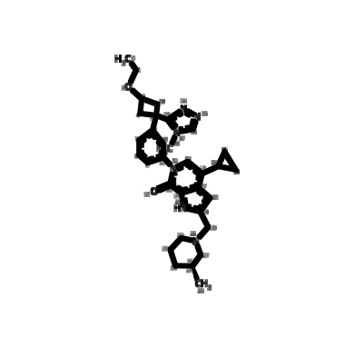 CCOC1CC(c2cccc(-n3cc(C4CC4)c4cc(CN5CCC[C@H](C)C5)[nH]c4c3=O)c2)(c2nncn2C)C1